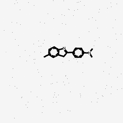 Cc1ccc2c(c1)CC(c1ccc(N(C)C)cc1)=N2